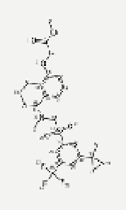 COC(=O)COc1cccc2c1CCC[C@H]2N(C)CS(=O)(=O)c1cc(C(F)(F)F)cc(C2(C)CC2)c1